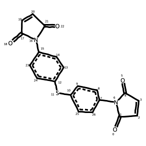 O=C1C=CC(=O)N1c1ccc(Sc2ccc(N3C(=O)C=CC3=O)cc2)cc1